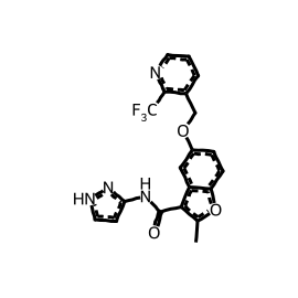 Cc1oc2ccc(OCc3cccnc3C(F)(F)F)cc2c1C(=O)Nc1cc[nH]n1